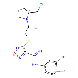 N=C(Nc1ccc(F)c(Br)c1)c1nonc1SCC(=O)N1CCC[C@H]1CO